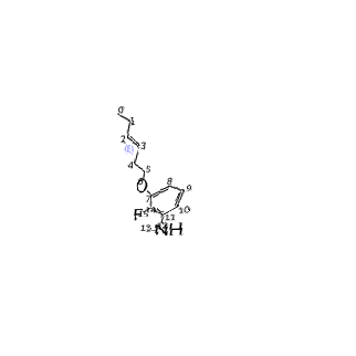 CC/C=C/CCOc1cccc(NC)c1F